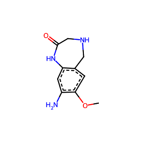 COc1cc2c(cc1N)NC(=O)CNC2